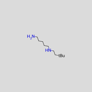 CC(C)(C)CCNCCCCCN